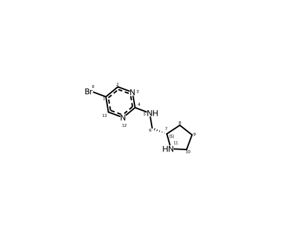 Brc1cnc(NC[C@@H]2CCCN2)nc1